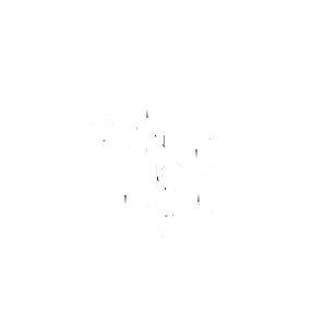 CC1(C)CCC(C)(C)c2cc(N3B4c5cc6c(cc5N(c5ccc7c(c5)C(C)(C)CCC7(C)C)c5c4c(cc4c5oc5ccccc54)-c4ccc5c(c43)-c3ccccc3C5(C)C)C(C)(C)CCC6(C)C)ccc21